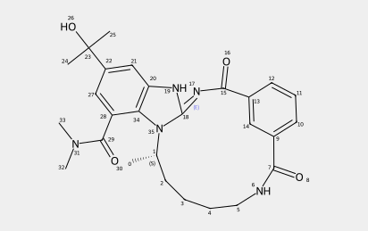 C[C@H]1CCCCNC(=O)c2cccc(c2)C(=O)/N=C2\Nc3cc(C(C)(C)O)cc(C(=O)N(C)C)c3N21